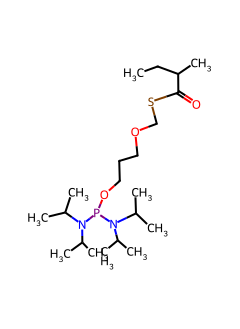 CCC(C)C(=O)SCOCCCOP(N(C(C)C)C(C)C)N(C(C)C)C(C)C